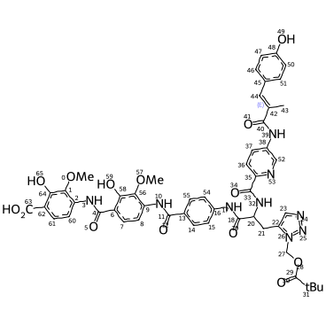 COc1c(NC(=O)c2ccc(NC(=O)c3ccc(NC(=O)C(Cc4cnnn4COC(=O)C(C)(C)C)NC(=O)c4ccc(NC(=O)/C(C)=C/c5ccc(O)cc5)cn4)cc3)c(OC)c2O)ccc(C(=O)O)c1O